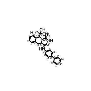 CC(C)(C)C1c2ccccc2C[C@H](C(=O)Nc2ccc(-c3ccncc3)cc2)N1C(=O)O